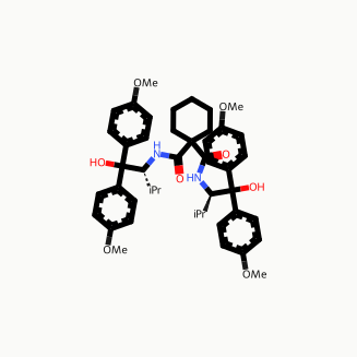 COc1ccc(C(O)(c2ccc(OC)cc2)[C@H](NC(=O)C2(C(=O)N[C@H](C(C)C)C(O)(c3ccc(OC)cc3)c3ccc(OC)cc3)CCCCC2)C(C)C)cc1